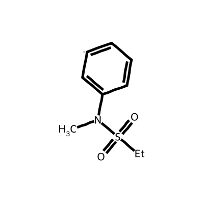 CCS(=O)(=O)N(C)c1c[c]ccc1